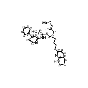 COCC(F)CN(CCCCc1ccc2c(n1)NCCC2)CCC(Nc1cc(-c2ccccc2)ccn1)C(=O)O